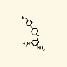 CCc1ccc(C2CCC(Oc3cc(N)cc(N)c3)CC2)cc1